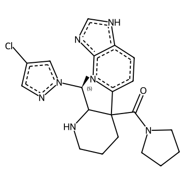 C[C@@H](C1NCCCC1(C(=O)N1CCCC1)c1ccc2[nH]cnc2n1)n1cc(Cl)cn1